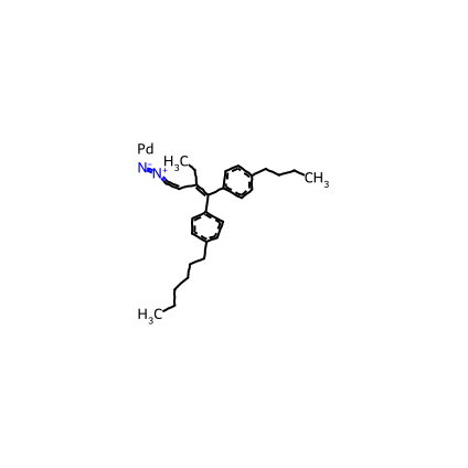 CCCCCCc1ccc(C(=C(C=C=[N+]=[N-])CC)c2ccc(CCCC)cc2)cc1.[Pd]